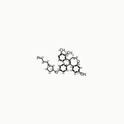 Cc1cccc(C2=C(c3ccc(O[C@H]4CCN(CCCF)C4)cc3)c3ccc(O)cc3OCC2)c1C